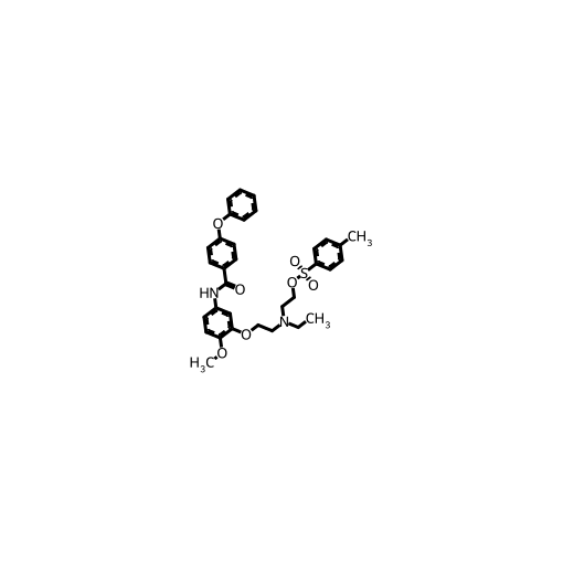 CCN(CCOc1cc(NC(=O)c2ccc(Oc3ccccc3)cc2)ccc1OC)CCOS(=O)(=O)c1ccc(C)cc1